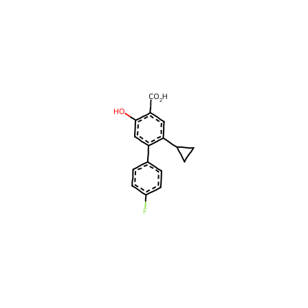 O=C(O)c1cc(C2CC2)c(-c2ccc(F)cc2)cc1O